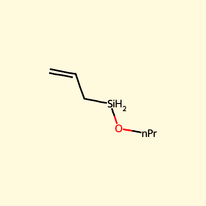 C=CC[SiH2]OCCC